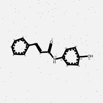 O=C(C=Cc1ccccc1)Nc1ccc(O)cc1